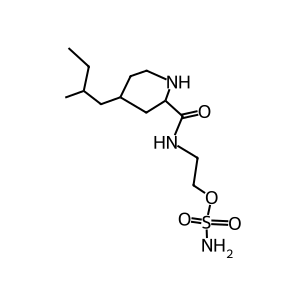 CCC(C)CC1CCNC(C(=O)NCCOS(N)(=O)=O)C1